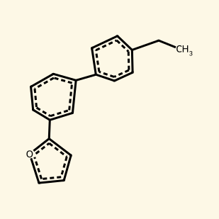 CCc1ccc(-c2cccc(-c3ccco3)c2)cc1